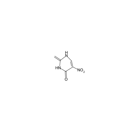 C=C1NC=C([N+](=O)[O-])C(=O)N1